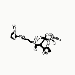 CCCCS(=O)(=O)NC(N)(C(=O)O)C(C(=O)OCCCNC1=NCCN1)c1ccno1